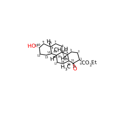 CCOC(=O)C1CC[C@H]2[C@@H]3CC[C@H]4C[C@@H](O)CC[C@]4(C)[C@H]3CC[C@]2(C)C1=O